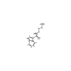 O=C(NCCCO)c1cnc2ccccn12